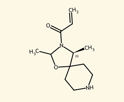 C=CC(=O)N1C(C)OC2(CCNCC2)[C@@H]1C